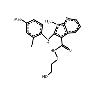 CSc1ccc(Nc2c(C(=O)NOCCO)c3cccnc3n2C)c(F)c1